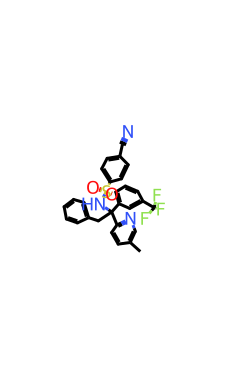 Cc1ccc(C(Cc2ccccc2)(NS(=O)(=O)c2ccc(C#N)cc2)c2cccc(C(F)(F)F)c2)nc1